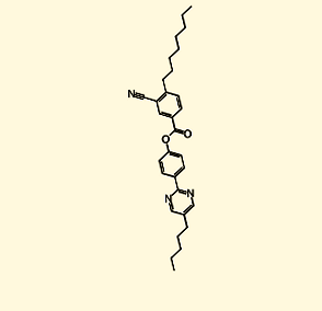 CCCCCCCCc1ccc(C(=O)Oc2ccc(-c3ncc(CCCCC)cn3)cc2)cc1C#N